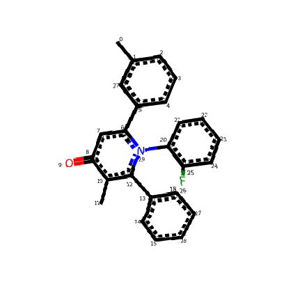 Cc1cccc(-c2cc(=O)c(C)c(-c3ccccc3)n2-c2ccccc2F)c1